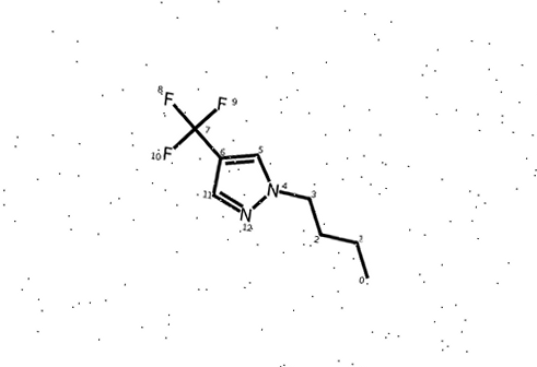 CCCCn1cc(C(F)(F)F)cn1